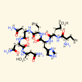 CC(C)C[C@H](NC(=O)[C@H](Cc1c[nH]cn1)NC(=O)[C@H](CCC(=O)O)NC(=O)[C@@H](N)CC(C)C)C(=O)N[C@@H](CC(N)=O)C(=O)N[C@@H](CC(N)=O)C(=O)N[C@@H](CC(N)=O)C(=O)O